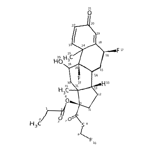 CCC(=O)O[C@]1(C(=O)SCF)CC[C@H]2C3C[C@H](F)C4=CC(=O)C=CC4(C)[C@@]3(F)C(O)CC21C